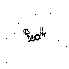 CC(C)Nc1ccc(CC(C)NCc2nccs2)cc1